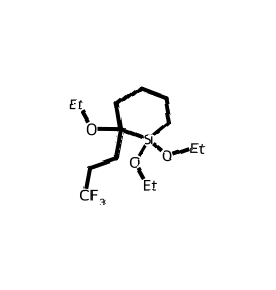 CCOC1(CCC(F)(F)F)CCCC[Si]1(OCC)OCC